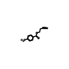 CNCCOC(=O)c1ccc(C)cc1